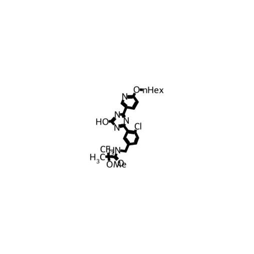 CCCCCCOc1ccc(-c2nc(O)nc(-c3cc(CNC(=O)C(C)(OC)C(F)(F)F)ccc3Cl)n2)cn1